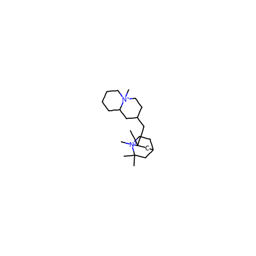 CC1(C)CC2CC[N+]1(C)C(C)(CC1CC[N+]3(C)CCCCC3C1)C2